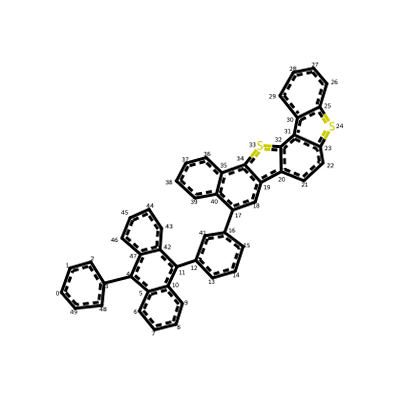 c1ccc(-c2c3ccccc3c(-c3cccc(-c4cc5c6ccc7sc8ccccc8c7c6sc5c5ccccc45)c3)c3ccccc23)cc1